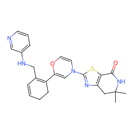 CC1(C)Cc2nc(N3C=COC(C4=C(CNc5cccnc5)C=CCC4)=C3)sc2C(=O)N1